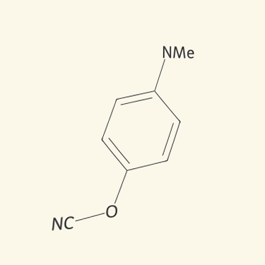 CNc1ccc(OC#N)cc1